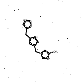 Cc1cc(Cc2cc(Cc3c[nH]nn3)[nH]n2)c[nH]1